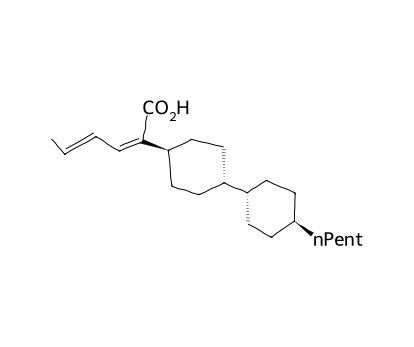 CC=CC=C(C(=O)O)[C@H]1CC[C@H]([C@H]2CC[C@H](CCCCC)CC2)CC1